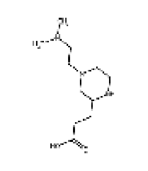 CN(C)CCN1CCNC(CCC(=O)O)C1